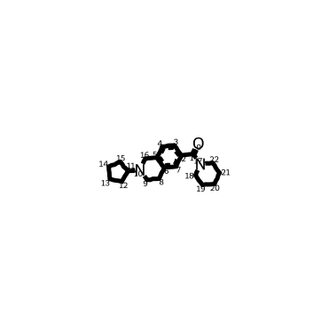 O=C(c1ccc2c(c1)CCN(C1CCCC1)C2)N1CCCCC1